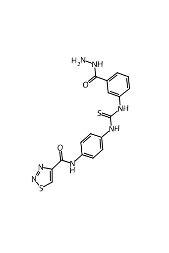 NNC(=O)c1cccc(NC(=S)Nc2ccc(NC(=O)c3csnn3)cc2)c1